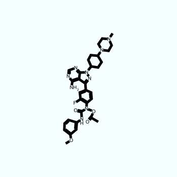 COc1cccc(NC(=O)N(OC(C)=O)c2ccc(-c3nn(C4CCC(N5CCN(C)CC5)CC4)c4ncnc(N)c34)cc2F)c1